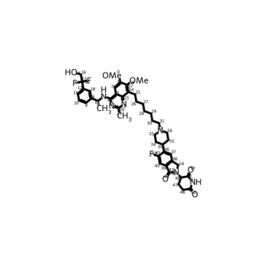 COc1cc2c(N[C@@H](C)c3cccc(C(F)(F)CO)c3)nc(C)nc2c(CCCCCCCN2CCC(c3cc4c(cc3F)C(=O)N(C3CCC(=O)NC3=O)C4)CC2)c1OC